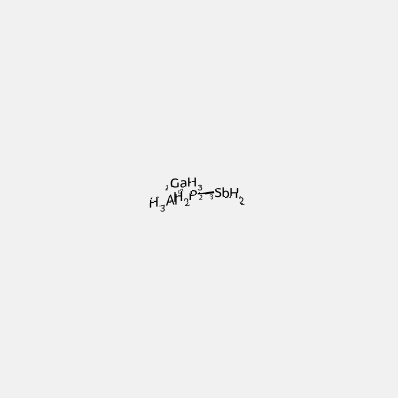 [AlH3].[GaH3].[PH2][SbH2]